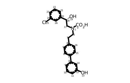 O=C(O)N(CCc1ccc(-c2cccc(O)c2)cc1)C[C@@H](O)c1cccc(Cl)c1